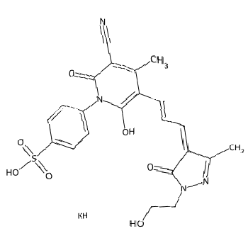 CC1=NN(CCO)C(=O)/C1=C\C=C\c1c(C)c(C#N)c(=O)n(-c2ccc(S(=O)(=O)O)cc2)c1O.[KH]